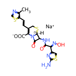 Cc1ncsc1C=CC1=C(C(=O)[O-])N2C(=O)C(NC(=O)C(=NO)c3csc(N)n3)[C@@H]2SC1.[Na+]